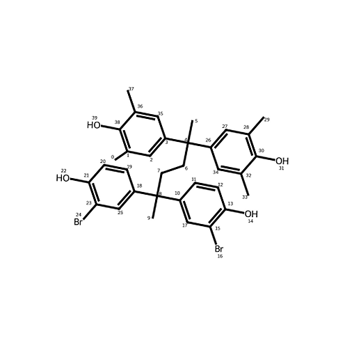 Cc1cc(C(C)(CCC(C)(c2ccc(O)c(Br)c2)c2ccc(O)c(Br)c2)c2cc(C)c(O)c(C)c2)cc(C)c1O